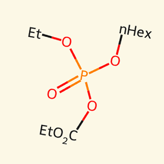 CCCCCCOP(=O)(OCC)OC(=O)OCC